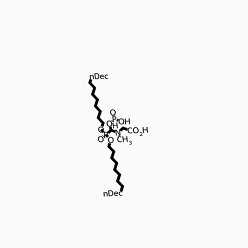 CCCCCCCCCCCCCCCCCCOP(=O)(OCCCCCCCCCCCCCCCCCC)C(O[PH](=O)O)N(C)CC(=O)O